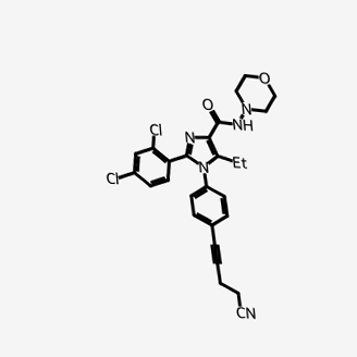 CCc1c(C(=O)NN2CCOCC2)nc(-c2ccc(Cl)cc2Cl)n1-c1ccc(C#CCCC#N)cc1